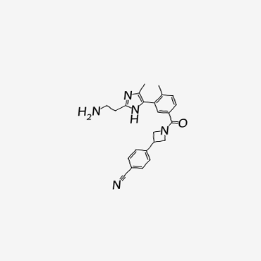 Cc1ccc(C(=O)N2CC(c3ccc(C#N)cc3)C2)cc1-c1[nH]c(CCN)nc1C